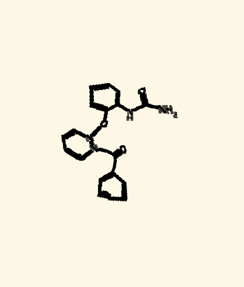 NC(=O)Nc1ccccc1ON1C=CC=CN1C(=O)c1ccccc1